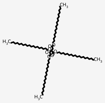 CCCCCCCCCCCCCCCCCCCCOC(=O)CC(CC(=O)OCCCCCCCCCCCCCCCCCCCC)(OC(=O)CCCCCCCCCCCCCCCCCCC)C(=O)OCCCCCCCCCCCCCCCCCCCC